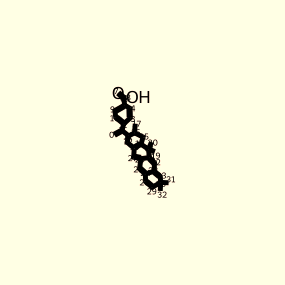 C=C(c1ccc(C(=O)O)cc1)C1CC2=C(CC1C)C(C)(C)c1cc3c(cc1=C2)C=CC(C)(C)C=3